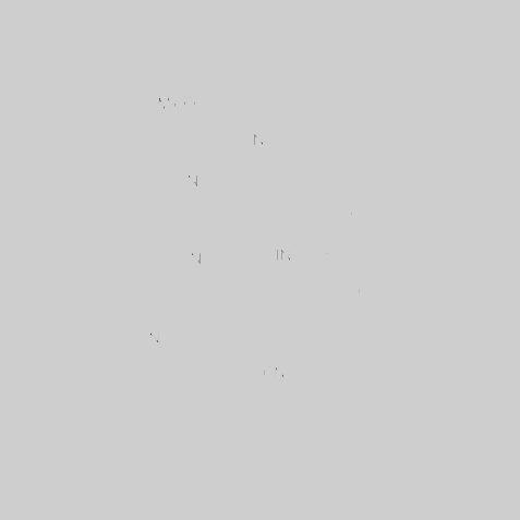 C=CC(=O)N1CCN(c2nc(OC)nc3c2NC(=O)C2(CCc4ccccc42)C3)CC1CC#N